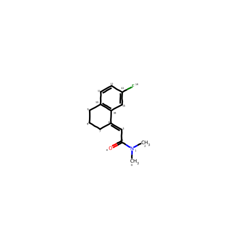 CN(C)C(=O)/C=C1\CCCc2ccc(F)cc21